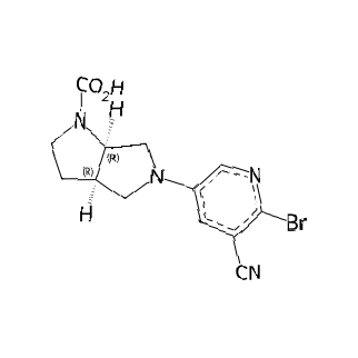 N#Cc1cc(N2C[C@H]3CCN(C(=O)O)[C@H]3C2)cnc1Br